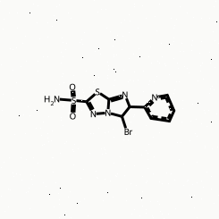 NS(=O)(=O)C1=NN2C(=NC(c3ccccn3)C2Br)S1